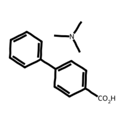 CN(C)C.O=C(O)c1ccc(-c2ccccc2)cc1